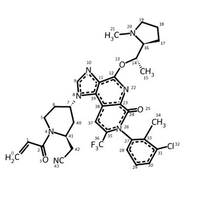 C=CC(=O)N1CC[C@H](n2cnc3c(O[C@@H](C)[C@@H]4CCCN4C)nc4c(=O)n(-c5cccc(Cl)c5C)c(C(F)(F)F)cc4c32)C[C@H]1CC#N